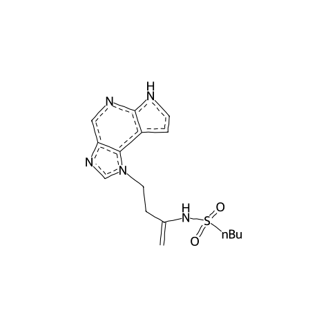 C=C(CCn1cnc2cnc3[nH]ccc3c21)NS(=O)(=O)CCCC